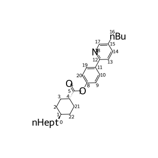 CCCCCCC[C@H]1CC[C@H](C(=O)Oc2ccc(-c3ccc(CCCC)cn3)cc2)CC1